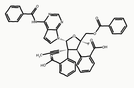 CC#C[C@]1(c2ccccc2C(=O)O)[C@H](n2ccc3c(NC(=O)c4ccccc4)ncnc32)O[C@@](F)(COC(=O)c2ccccc2)[C@H]1c1ccccc1C(=O)O